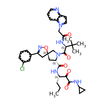 CCC[C@H](NC(=O)[C@@H]1C[C@]2(CC(c3cccc(Cl)c3)=NO2)CN1C(=O)[C@@H](NC(=O)Cn1ccc2ncccc21)C(C)(C)C)C(=O)C(=O)NC1CC1